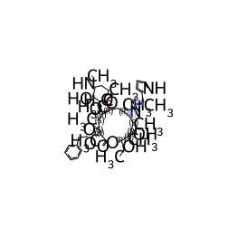 CC[C@H]1OC(=O)[C@H](C)[C@@H](OC(=O)Cc2ccccc2)[C@H](C)[C@@H](OC2OC(C)CC(NC)C2O)[C@](C)(OC)C[C@@H](C)/C(=N\N=C(/C)c2ccc[nH]2)[C@H](C)[C@@H](O)[C@]1(C)O